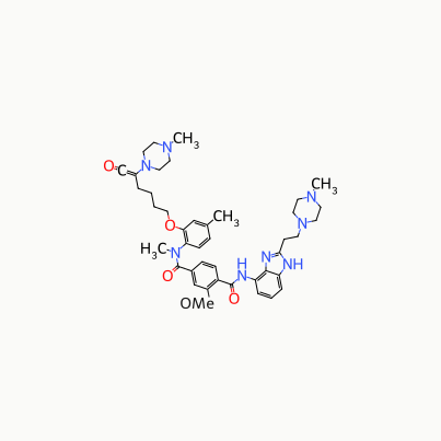 COc1cc(C(=O)N(C)c2ccc(C)cc2OCCCCC(=C=O)N2CCN(C)CC2)ccc1C(=O)Nc1cccc2[nH]c(CCN3CCN(C)CC3)nc12